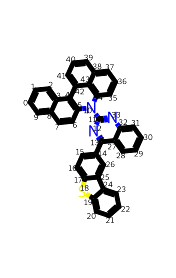 c1ccc2c3c(ccc2c1)N(c1nc(-c2ccc4sc5ccccc5c4c2)c2ccccc2n1)c1cccc2cccc-3c12